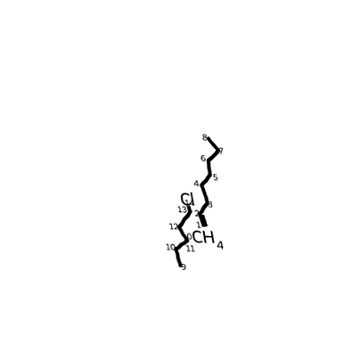 C.C=CCCCCCC.CCCCCCl